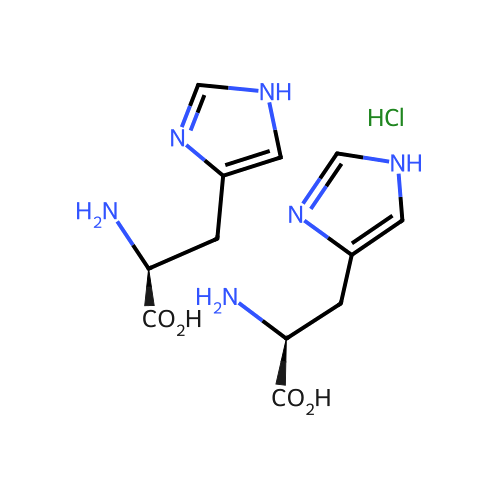 Cl.N[C@@H](Cc1c[nH]cn1)C(=O)O.N[C@@H](Cc1c[nH]cn1)C(=O)O